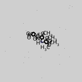 COc1ccc(/C=C\c2cc(OC)c(OC)c(OC)c2)c(NS(=O)(=O)c2cccc([N+](=O)[O-])c2)c1F